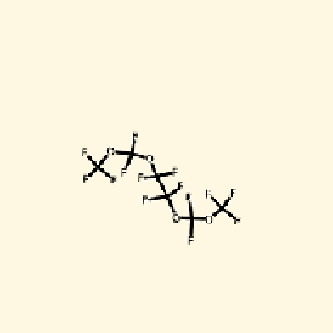 FC(F)(F)OC(F)(F)OC(F)(F)C(F)(F)OC(F)(F)OC(F)(F)F